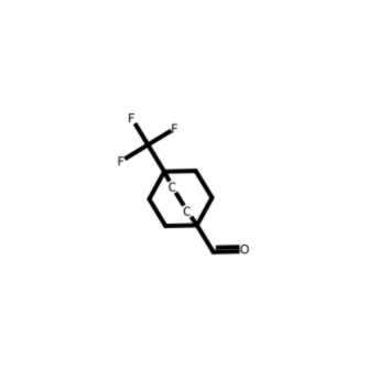 O=CC12CCC(C(F)(F)F)(CC1)CC2